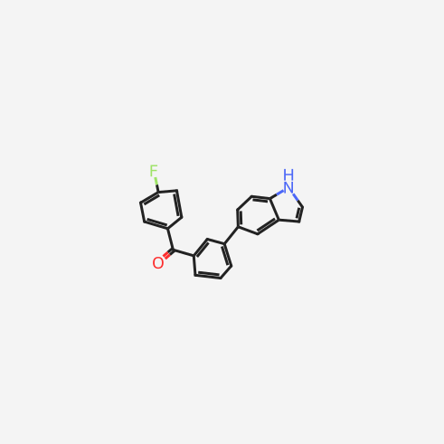 O=C(c1ccc(F)cc1)c1cccc(-c2ccc3[nH]ccc3c2)c1